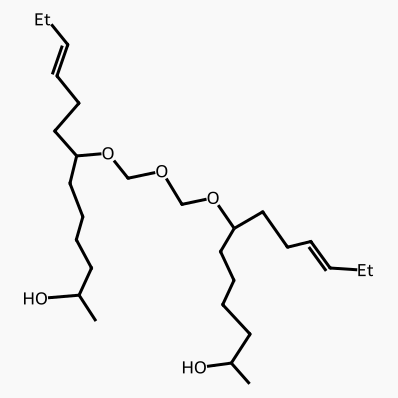 CCC=CCCC(CCCCC(C)O)OCOCOC(CCC=CCC)CCCCC(C)O